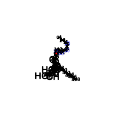 CCCCC/C=C\C/C=C\C/C=C\C/C=C\CCCC(=O)OC[C@H](COP(=O)(O)OC[C@@H](O)CO)OC(=O)CCCCCCCCCCC